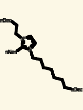 CCCCCCCCCCCCCCCCCn1cc[n+](CCCCCCCCCCCC)c1CCCCCCCCC